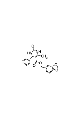 CC1=C(C(=O)OCc2ccc3c(c2)OCO3)C(c2ccoc2)NC(=O)N1